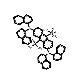 C[Si](C)(C)c1c2cc(N(c3cccc4ccccc34)c3cccc4ccccc34)ccc2c([SH](C)(C)(C)I)c2ccc(N(c3cccc4ccccc34)c3cccc4ccccc34)cc12